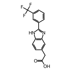 O=C(O)Cc1ccc2[nH]c(-c3cccc(C(F)(F)F)c3)nc2c1